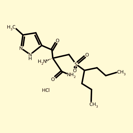 CCCC(CCC)S(=O)(=O)C[C@@](N)(C(N)=O)C(=O)c1cc(C)n[nH]1.Cl